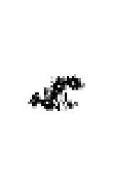 CNc1ccc(-c2cccs2)cc1NC(=O)c1ccc(NC2CCN(C)CC2)cc1